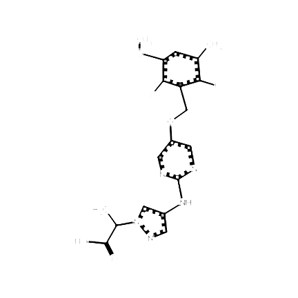 COc1cc(C)c(F)c(COc2cnc(Nc3cnn(C(C)C(=O)O)c3)nc2)c1F